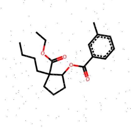 CCCCC1(C(=O)OCC)CCCC1OC(=O)c1cccc(C)c1